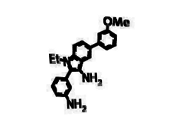 CCn1c(-c2cccc(N)c2)c(N)c2cc(-c3cccc(OC)c3)ccc21